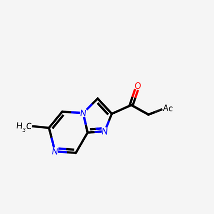 CC(=O)CC(=O)c1cn2cc(C)ncc2n1